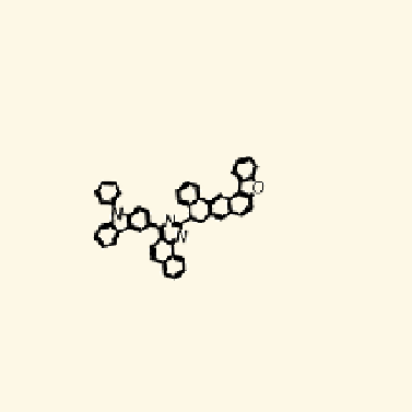 c1ccc(-n2c3ccccc3c3cc(-c4nc(C5Cc6cc7ccc8oc9ccccc9c8c7cc6-c6ccccc65)nc5c4ccc4ccccc45)ccc32)cc1